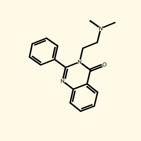 CN(C)CCn1c(-c2ccccc2)nc2ccccc2c1=O